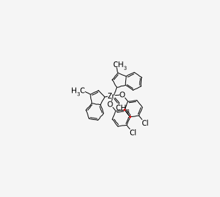 C[CH]=[Zr]([O]c1ccc(Cl)cc1)([O]c1ccc(Cl)cc1)([CH]1C=C(C)c2ccccc21)[CH]1C=C(C)c2ccccc21